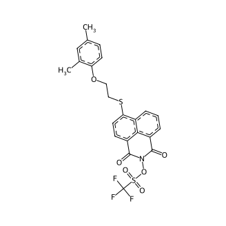 Cc1ccc(OCCSc2ccc3c4c(cccc24)C(=O)N(OS(=O)(=O)C(F)(F)F)C3=O)c(C)c1